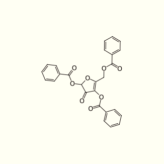 O=C(OCC1=C(OC(=O)c2ccccc2)C(=O)C(OC(=O)c2ccccc2)O1)c1ccccc1